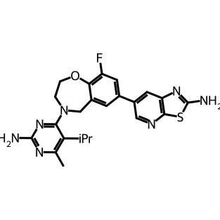 Cc1nc(N)nc(N2CCOc3c(F)cc(-c4cnc5sc(N)nc5c4)cc3C2)c1C(C)C